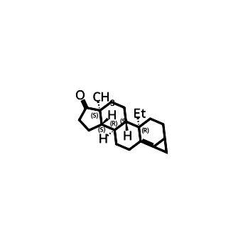 CC[C@]12CCC3CC3=C1CC[C@@H]1[C@@H]2CC[C@]2(C)C(=O)CC[C@@H]12